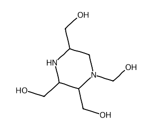 OCC1CN(CO)C(CO)C(CO)N1